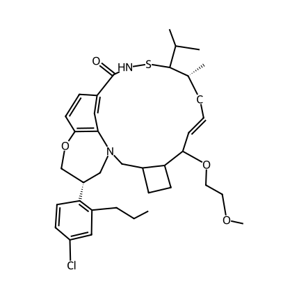 CCCc1cc(Cl)ccc1[C@@H]1COc2ccc3cc2N(CC2CCC2C(OCCOC)/C=C/C[C@@H](C)C(C(C)C)SNC3=O)C1